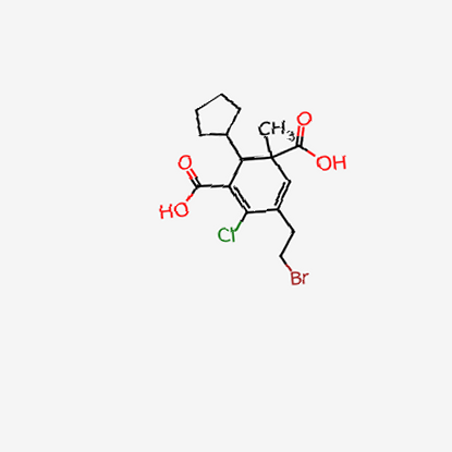 CC1(C(=O)O)C=C(CCBr)C(Cl)=C(C(=O)O)C1C1CCCC1